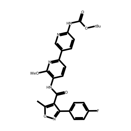 COc1nc(-c2ccc(NC(=O)OC(C)(C)C)nc2)ccc1NC(=O)c1c(-c2ccc(F)cc2)noc1C